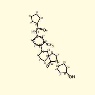 O=C(Nc1ccc(N2CCCC3(CCN([C@H]4CC[C@H](O)CC4)C3=O)C2)c(C(F)(F)F)c1)C1CCCC1